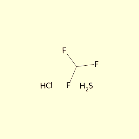 Cl.FC(F)F.S